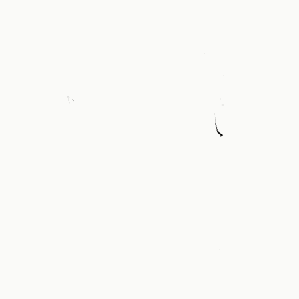 CC(=O)[C@@H](OC(C)(C)C)c1c(C)cc2nc(C(C)C)ccc2c1-c1ccc(Cl)cc1